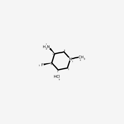 CN1CC[C@@H](F)[C@@H](N)C1.Cl